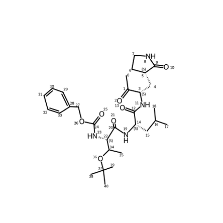 CC(=O)[C@H](C[C@@H]1CCNC1=O)NC(=O)[C@H](CC(C)C)NC(=O)[C@@H](NC(=O)OCc1ccccc1)C(C)OC(C)(C)C